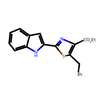 CCOC(=O)c1nc(-c2cc3ccccc3[nH]2)sc1CC(C)C